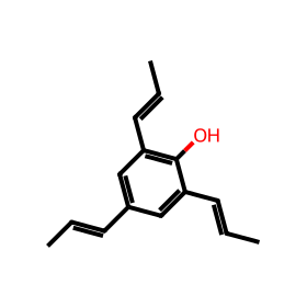 CC=Cc1cc(C=CC)c(O)c(C=CC)c1